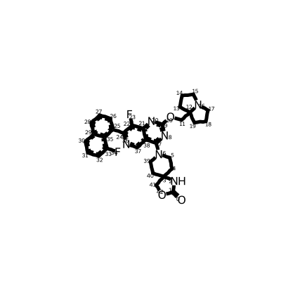 O=C1NC2(CCN(c3nc(OCC45CCCN4CCC5)nc4c(F)c(-c5cccc6cccc(F)c56)ncc34)CC2)CO1